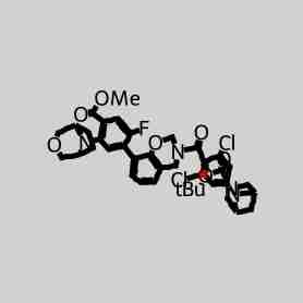 COC(=O)c1cc(F)c(-c2cccc3c2OCN(C(=O)c2c(Cl)cc(N4C5CC4CN(C(=O)OC(C)(C)C)C5)cc2Cl)C3)cc1N1C2CCC1COC2